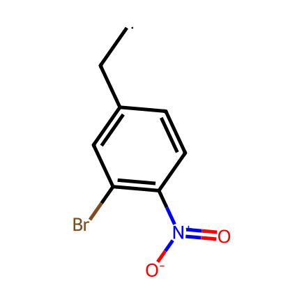 [CH2]Cc1ccc([N+](=O)[O-])c(Br)c1